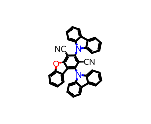 N#Cc1c(-n2c3ccccc3c3ccccc32)c(C#N)c2oc3ccccc3c2c1-n1c2ccccc2c2ccccc21